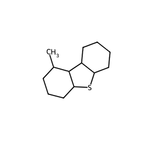 CC1CCCC2SC3CCCCC3C12